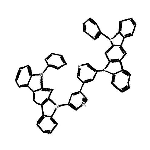 c1ccc(-n2c3ccccc3c3cc4c5ccccc5n(-c5cncc(-c6cncc(-n7c8ccccc8c8cc9c%10ccccc%10n(-c%10ccccc%10)c9cc87)c6)c5)c4cc32)cc1